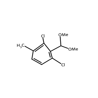 COC(OC)c1c(Cl)ccc(C)c1Cl